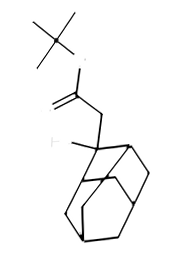 CC(C)(C)OC(=O)CC1(S)C2CC3CC(C2)CC1C3